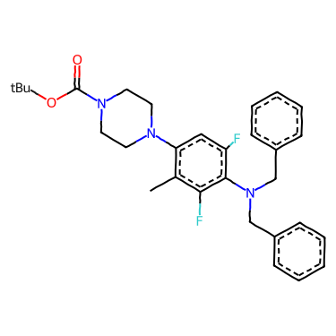 Cc1c(N2CCN(C(=O)OC(C)(C)C)CC2)cc(F)c(N(Cc2ccccc2)Cc2ccccc2)c1F